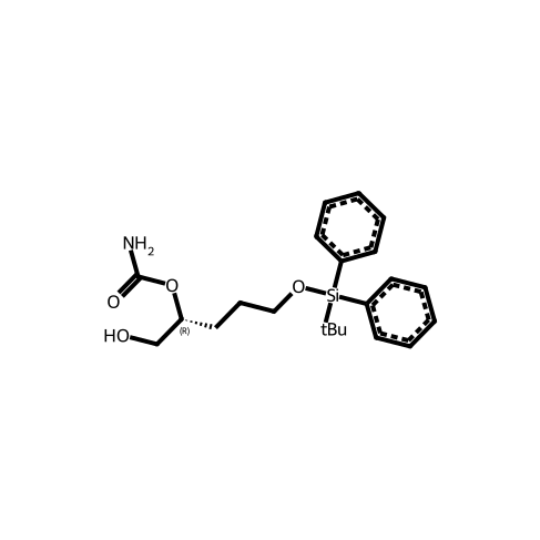 CC(C)(C)[Si](OCCC[C@H](CO)OC(N)=O)(c1ccccc1)c1ccccc1